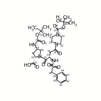 CC(C)(C)OC(=O)N[C@@H]1C[C@@H](C(=O)O)N(C(=O)[C@@H](CC(=O)N2CCN(C(=O)OC(C)(C)C)CC2)NS(=O)(=O)Cc2ccccc2)C1